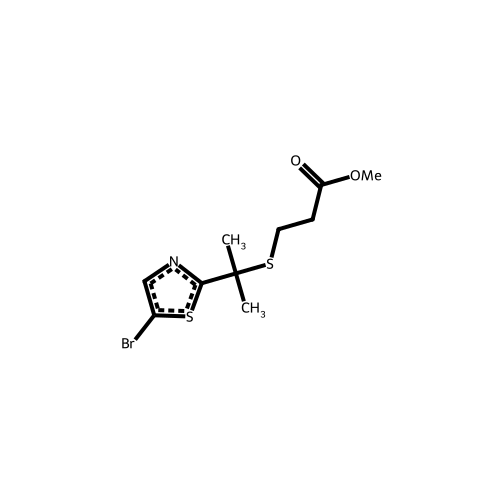 COC(=O)CCSC(C)(C)c1ncc(Br)s1